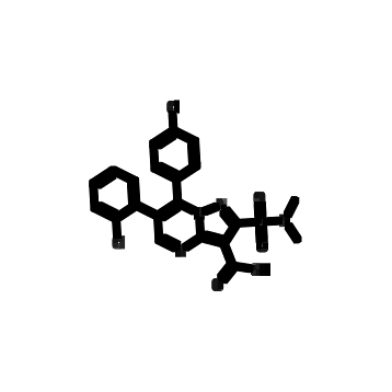 CN(C)S(=O)(=O)c1nn2c(-c3ccc(Cl)cc3)c(-c3ccccc3Cl)cnc2c1C(=O)O